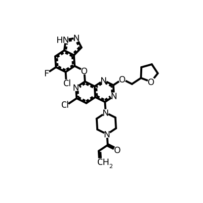 C=CC(=O)N1CCN(c2nc(OCC3CCCO3)nc3c(Oc4c(Cl)c(F)cc5[nH]ncc45)nc(Cl)cc23)CC1